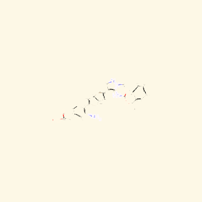 C[C@@H](OC(=O)Nc1c(-c2cc3sc(-c4ccc(CC(=O)O)cc4N)cc3s2)cnn1C)c1ccccc1